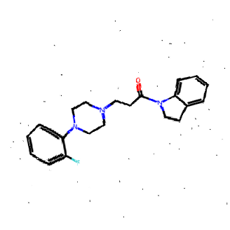 O=C(CCN1CCN(c2ccccc2F)CC1)N1CCc2ccccc21